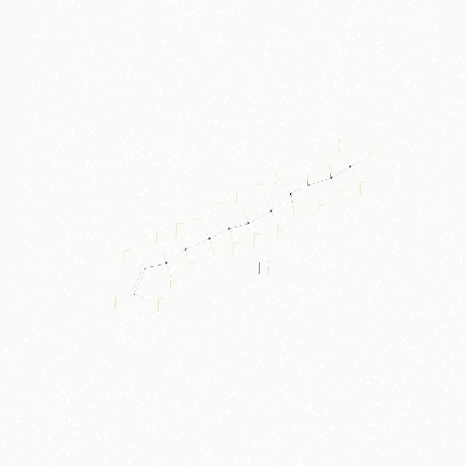 FC(F)=C(F)C(F)(F)C(F)(F)C(F)(F)C(F)(F)C(F)(F)C(F)(F)C(F)(F)C(F)(F)C(F)(F)C(F)(F)F.[H+]